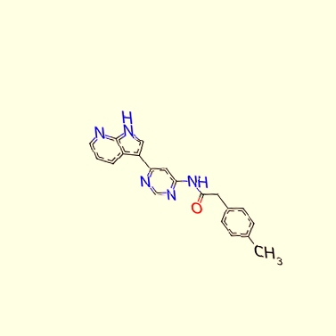 Cc1ccc(CC(=O)Nc2cc(-c3c[nH]c4ncccc34)ncn2)cc1